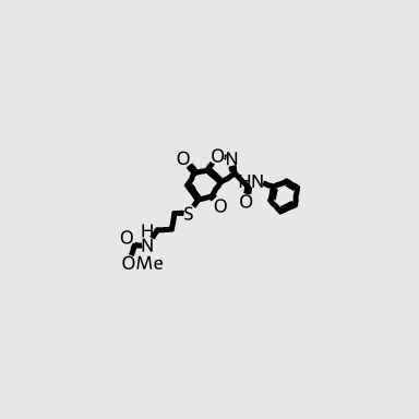 COC(=O)NCCCSC1=CC(=O)c2onc(C(=O)Nc3ccccc3)c2C1=O